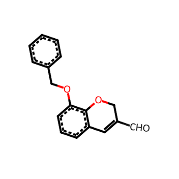 O=CC1=Cc2cccc(OCc3ccccc3)c2OC1